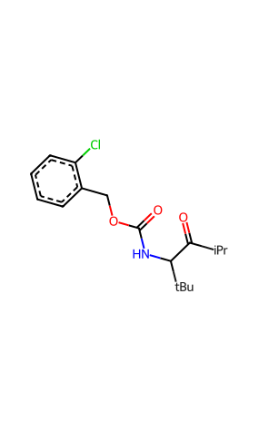 CC(C)C(=O)C(NC(=O)OCc1ccccc1Cl)C(C)(C)C